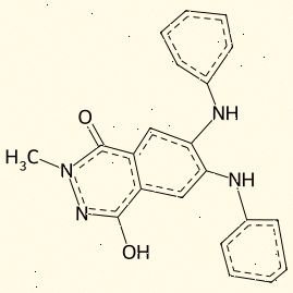 Cn1nc(O)c2cc(Nc3ccccc3)c(Nc3ccccc3)cc2c1=O